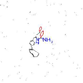 NC(=O)N[C@@H](CC=O)Cc1ccc(-c2ccccc2)cc1